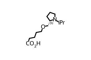 CC(C)N1CCC[C@H]1COCCCCC(=O)O